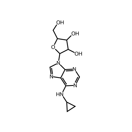 OCC1OC(n2cnc3c(NC4CC4)ncnc32)C(O)C1O